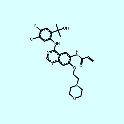 C=CC(=O)Nc1cc2c(Nc3cc(Cl)c(F)cc3C(C)(C)O)ncnc2cc1OCCN1CCOCC1